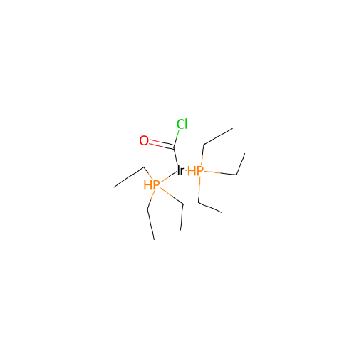 CC[PH](CC)(CC)[Ir]([C](=O)Cl)[PH](CC)(CC)CC